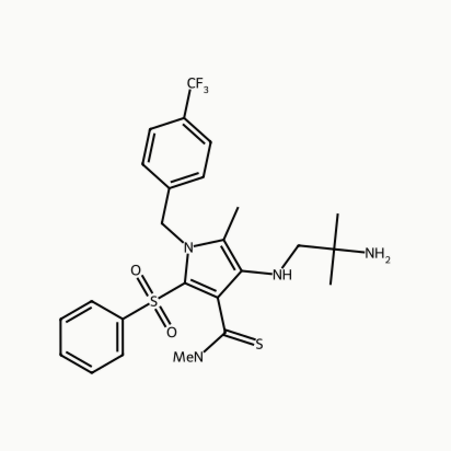 CNC(=S)c1c(NCC(C)(C)N)c(C)n(Cc2ccc(C(F)(F)F)cc2)c1S(=O)(=O)c1ccccc1